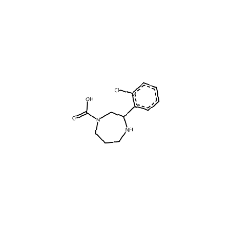 O=C(O)N1CCCNC(c2ccccc2Cl)C1